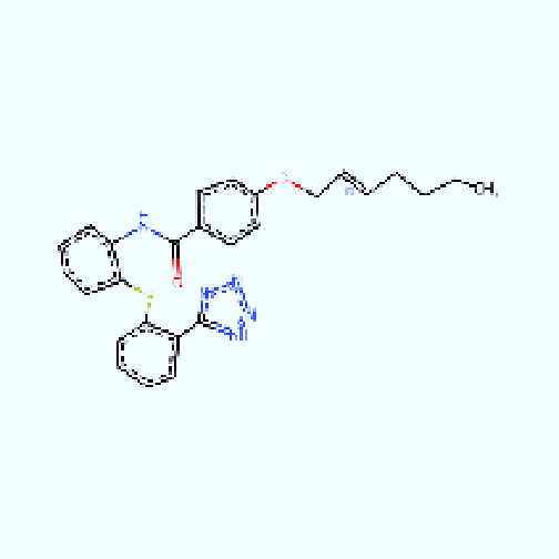 CCCC/C=C/COc1ccc(C(=O)Nc2ccccc2Sc2ccccc2-c2nnn[nH]2)cc1